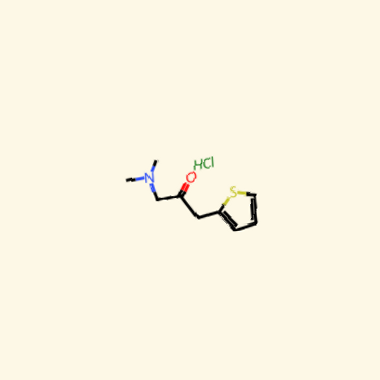 CN(C)CC(=O)Cc1cccs1.Cl